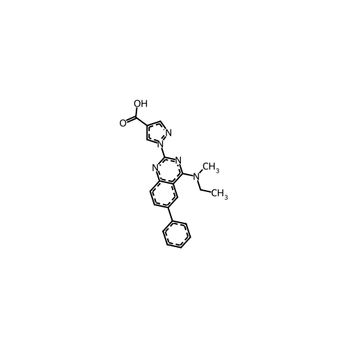 CCN(C)c1nc(-n2cc(C(=O)O)cn2)nc2ccc(-c3ccccc3)cc12